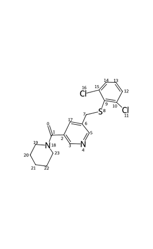 C=C(c1cncc(CSc2c(Cl)cccc2Cl)c1)N1CCCCC1